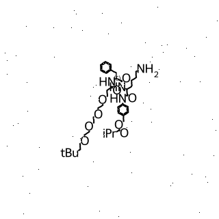 CC(C)C(=O)OCc1ccc(NC(=O)C(CCCCN)NC(=O)[C@H](Cc2ccccc2)NC(=O)CCOCCOCCOCCOCCC(C)(C)C)cc1